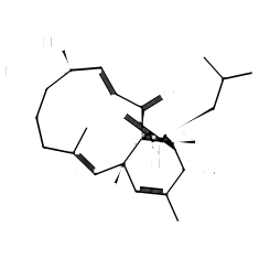 CC1=C[C@@H]2/C=C(\C)CC[C@H](O)[C@@H](O)/C=C/C(=O)[C@]23C(=O)N[C@@H](CC(C)C)[C@@H]3[C@@H]1C